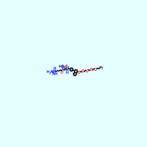 CC(C)CCOCCOCCOCCOCCOc1ccc(-c2ccc([C@H](CC(=O)O)NC(=O)CNC(=O)CCCCNC(=N)N)cc2)c2ccccc12